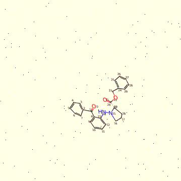 O=C(c1ccccc1)c1ccccc1NN1CCC[C@H]1C(=O)OCc1ccccc1